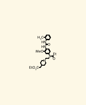 CCOC(=O)CC1CCN(CCN(C(=O)CC)c2ccc(NC(=O)Nc3ccccc3C)c(OC)c2)CC1